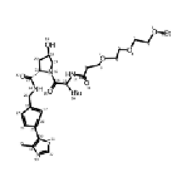 CCOCCOCCOCCC(=O)N[C@H](C(=O)N1C[C@H](O)C[C@H]1C(=O)NCc1ccc(-c2scnc2C)cc1)C(C)(C)C